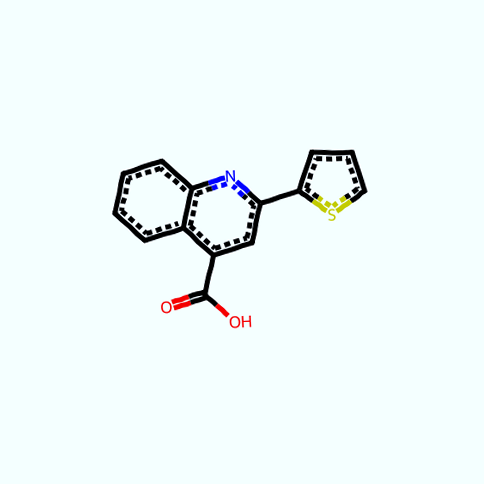 O=C(O)c1cc(-c2cccs2)nc2ccccc12